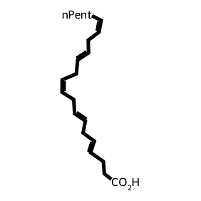 CCCCC/C=C\C/C=C/C/C=C\C/C=C/C/C=C/CCC(=O)O